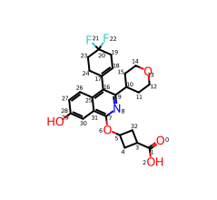 O=C(O)C1CC(Oc2nc(C3CCOCC3)c(C3=CCC(F)(F)CC3)c3ccc(O)cc23)C1